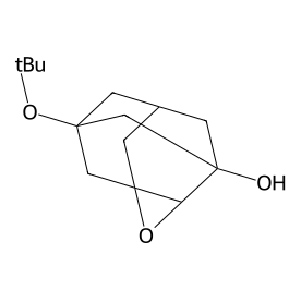 CC(C)(C)OC12CC3CC(O)(C1)C1OC1(C3)C2